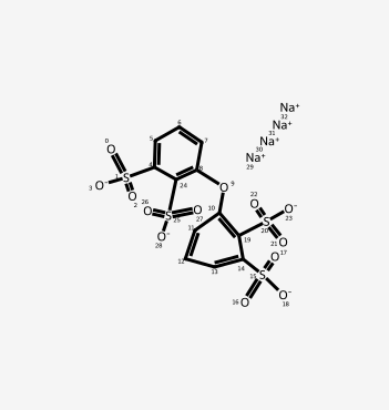 O=S(=O)([O-])c1cccc(Oc2cccc(S(=O)(=O)[O-])c2S(=O)(=O)[O-])c1S(=O)(=O)[O-].[Na+].[Na+].[Na+].[Na+]